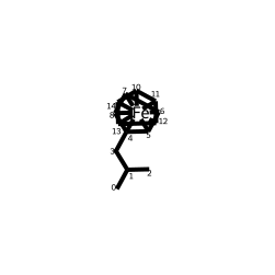 CC(C)C[C]12[CH]3[CH]4[CH]5[CH]1[Fe]45321678[CH]2[CH]1[CH]6[CH]7[CH]28